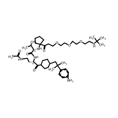 CC(C)[C@H](NC1(C(=O)CCOCCOCCOCCNC(C)(C)C)CCCC1)C(=O)N[C@@H](CCNC(N)=O)C(=O)C1CCC(CC(C)(C)c2ccc(N)cc2)CC1